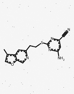 Cc1coc2cnc(CCSc3nc(N)cc(C#N)n3)cc12